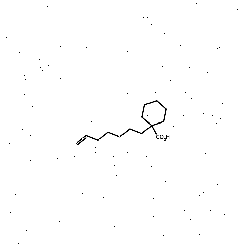 C=CCCCCCC1(C(=O)O)CCCCC1